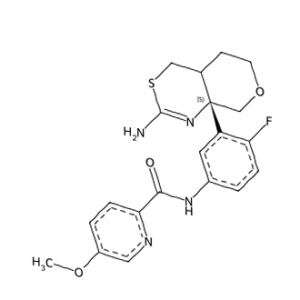 COc1ccc(C(=O)Nc2ccc(F)c([C@]34COCCC3CSC(N)=N4)c2)nc1